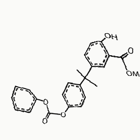 COC(=O)c1cc(C(C)(C)c2ccc(OC(=O)Oc3ccccc3)cc2)ccc1O